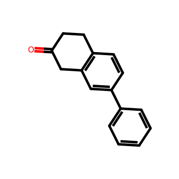 O=C1CCc2ccc(-c3ccccc3)cc2C1